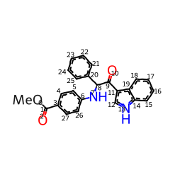 COC(=O)c1ccc(N[C@H](C(=O)c2c[nH]c3ccccc23)c2ccccc2)cc1